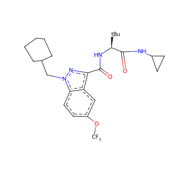 CC(C)(C)[C@H](NC(=O)c1nn(CC2CCCCC2)c2ccc(OC(F)(F)F)cc12)C(=O)NC1CC1